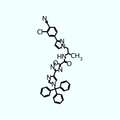 CC(Cn1ccc(-c2ccc(C#N)c(Cl)c2)n1)NC(=O)c1nc(-c2cn(C(c3ccccc3)(c3ccccc3)c3ccccc3)cn2)no1